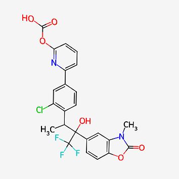 CC(c1ccc(-c2cccc(OC(=O)O)n2)cc1Cl)C(O)(c1ccc2oc(=O)n(C)c2c1)C(F)(F)F